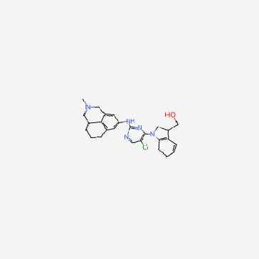 CN1Cc2cc(Nc3ncc(Cl)c(N4CC(CO)C5=C4CCC=C5)n3)cc3c2C(CCC3)C1